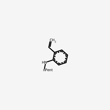 C=Cc1ccccc1NCCCCC